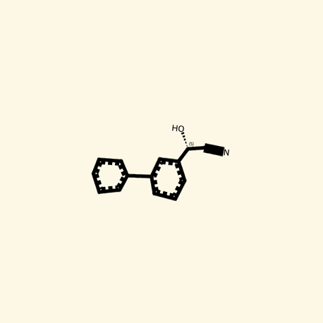 N#C[C@@H](O)c1cccc(-c2ccccc2)c1